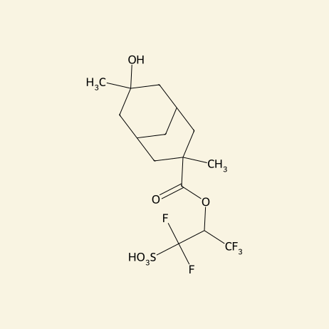 CC1(O)CC2CC(C1)CC(C)(C(=O)OC(C(F)(F)F)C(F)(F)S(=O)(=O)O)C2